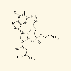 C=CCOP(=O)(OCCC#N)O[C@H]1[C@@H](F)[C@H](n2cnc3c(=O)[nH]c(N)nc32)O[C@@H]1C(O)=CN(C)C